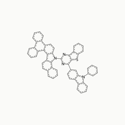 c1ccc(-n2c3ccccc3c3ccc(-c4nc(-n5c6ccc7c8ccccc8c8ccccc8c7c6c6ccc7ccccc7c65)nc5c4sc4ccccc45)cc32)cc1